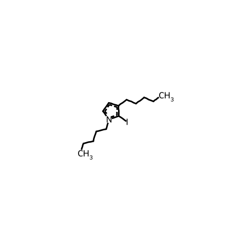 CCCCCc1ccn(CCCCC)c1I